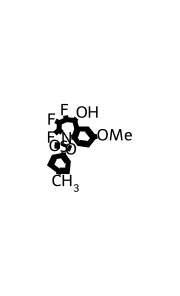 COc1ccc2c(c1)C(O)C(F)C(F)C(F)N2S(=O)(=O)c1ccc(C)cc1